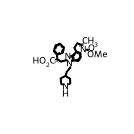 COC(=O)N1c2ccc3c(nc(C[C@H](C(=O)O)c4ccccc4)n3CCC3CCNCC3)c2CC[C@@H]1C